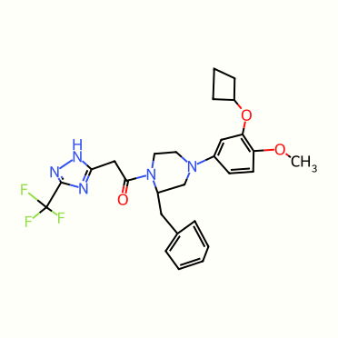 COc1ccc(N2CCN(C(=O)Cc3nc(C(F)(F)F)n[nH]3)C(Cc3ccccc3)C2)cc1OC1CCC1